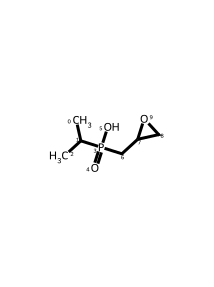 CC(C)P(=O)(O)CC1CO1